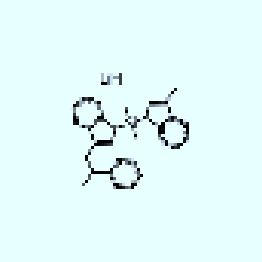 CC1=CC([Si](C)(C)C2C=C(CC(C)c3ccccc3)c3ccccc32)c2ccccc21.[LiH]